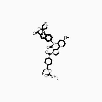 CO[C@H]1CC[C@H]([C@@H]2CCN(C(=O)[C@H]3CC[C@H]([C@@H](CF)OC(N)=O)CC3)[C@@H]2C(=O)Nc2ccc3c(c2)cc2n3C(CF)(CF)OC2=O)CC1